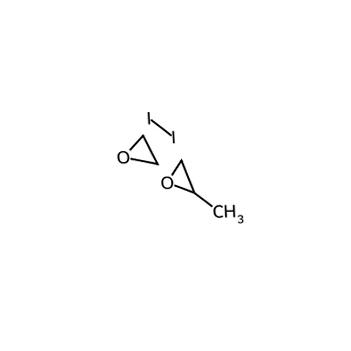 C1CO1.CC1CO1.II